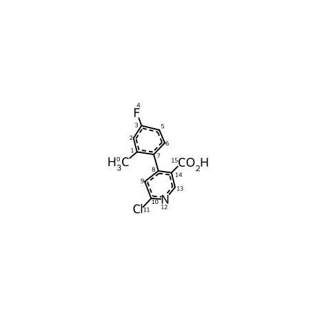 Cc1cc(F)ccc1-c1cc(Cl)ncc1C(=O)O